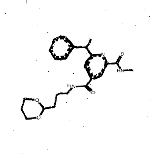 CNC(=O)c1cc(C(=O)NCCCC2OCCCO2)cc(C(C)c2ccccc2)n1